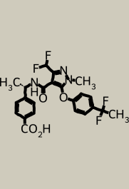 C[C@H](NC(=O)c1c(C(F)F)nn(C)c1Oc1ccc(C(C)(F)F)cc1)c1ccc(C(=O)O)cc1